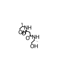 C[C@H](CO)NC(=O)CC(=O)N[C@H](C)CO